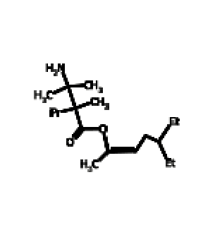 CCC(CC)C/C=C(/C)OC(=O)C(C)(C(C)C)C(C)(C)N